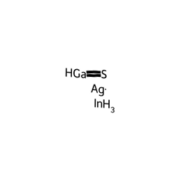 [Ag].[InH3].[S]=[GaH]